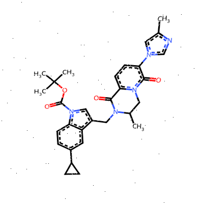 Cc1cn(-c2ccc3n(c2=O)CC(C)N(Cc2cn(C(=O)OC(C)(C)C)c4ccc(C5CC5)cc24)C3=O)cn1